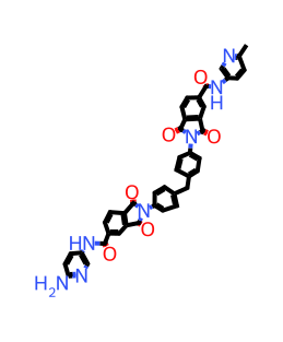 Cc1ccc(NC(=O)c2ccc3c(c2)C(=O)N(c2ccc(Cc4ccc(N5C(=O)c6ccc(C(=O)Nc7ccc(N)nc7)cc6C5=O)cc4)cc2)C3=O)cn1